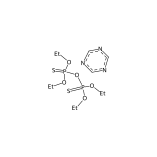 CCOP(=S)(OCC)OP(=S)(OCC)OCC.c1ncncn1